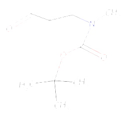 CN(CC[C]=O)C(=O)OC(C)(C)C